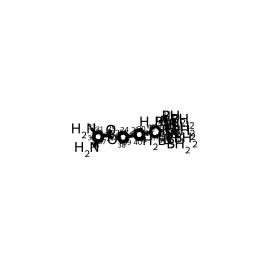 BB(B)B(B(B)B)B(B(B(B)B)B(B)B)C1CCC(c2ccc(-c3ccc(OC(=O)c4cc(N)cc(N)c4)cc3)cc2)CC1